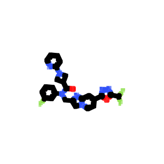 O=C(C1CN(c2ccccn2)C1)N(Cc1cn2ccc(-c3nnc(C(F)F)o3)cc2n1)c1cccc(F)c1